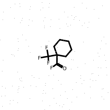 O=C(F)C1(C(F)(F)F)CCCCC1